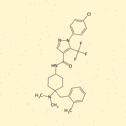 Cc1ccccc1CC1(N(C)C)CCC(NC(=O)c2cnn(-c3ccc(Cl)cc3)c2C(F)(F)F)CC1